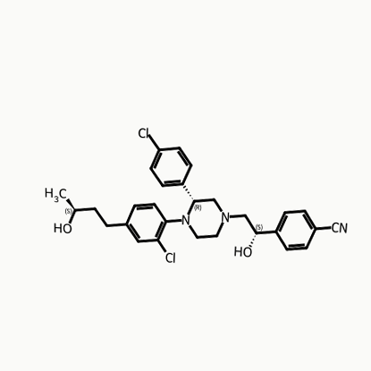 C[C@H](O)CCc1ccc(N2CCN(C[C@@H](O)c3ccc(C#N)cc3)C[C@H]2c2ccc(Cl)cc2)c(Cl)c1